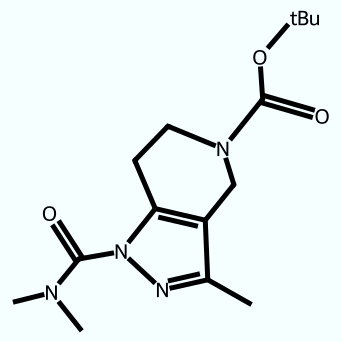 Cc1nn(C(=O)N(C)C)c2c1CN(C(=O)OC(C)(C)C)CC2